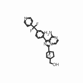 Nc1nccn2c(C34CCC(CO)(CC3)OC4)nc(-c3ccc(C(F)(F)c4ccncc4)cc3)c12